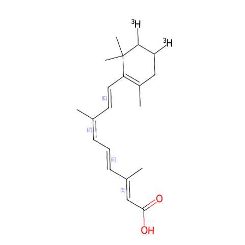 [3H]C1CC(C)=C(/C=C/C(C)=C\C=C\C(C)=C\C(=O)O)C(C)(C)C1[3H]